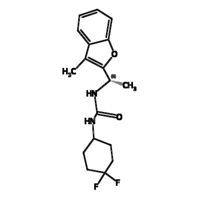 Cc1c([C@H](C)NC(=O)NC2CCC(F)(F)CC2)oc2ccccc12